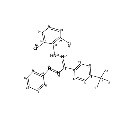 CC(C)(C)c1ccc(C(N=Nc2ccccc2)=NNc2c(Cl)cccc2Cl)cc1